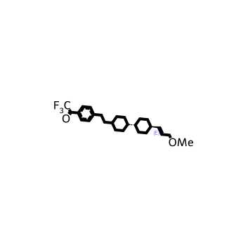 COC/C=C/[C@H]1CC[C@H](C2CCC(CCc3ccc(C(=O)C(F)(F)F)cc3)CC2)CC1